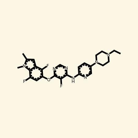 CCN1CCN(c2ccc(Nc3ncnc(Oc4cc(F)c5c(cc(C)n5C)c4F)c3F)nc2)CC1